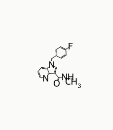 CNC(=O)c1cn(Cc2ccc(F)cc2)c2cccnc12